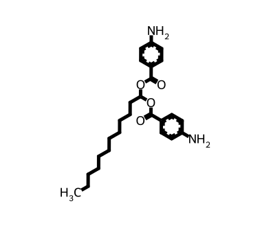 CCCCCCCCCCCC(OC(=O)c1ccc(N)cc1)OC(=O)c1ccc(N)cc1